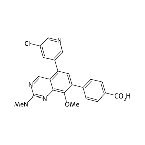 CNc1ncc2c(-c3cncc(Cl)c3)cc(-c3ccc(C(=O)O)cc3)c(OC)c2n1